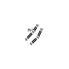 [N-]=[N+]=[N-].[N-]=[N+]=[N-].[Pb+2]